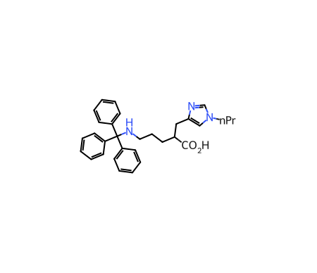 CCCn1cnc(CC(CCCNC(c2ccccc2)(c2ccccc2)c2ccccc2)C(=O)O)c1